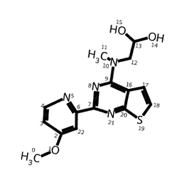 COc1ccnc(-c2nc(N(C)CC(O)O)c3ccsc3n2)c1